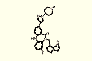 CN1CCC(n2cc(-c3ccc4c(c3)C(=O)N(Cc3cccc5cc[nH]c35)c3cc(F)ccc3N4)cn2)CC1